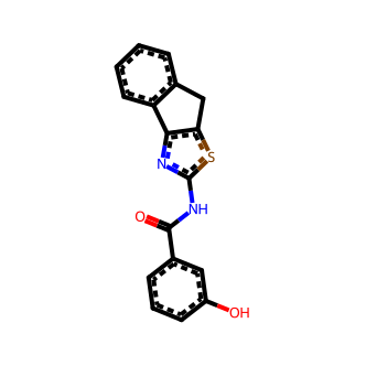 O=C(Nc1nc2c(s1)Cc1ccccc1-2)c1cccc(O)c1